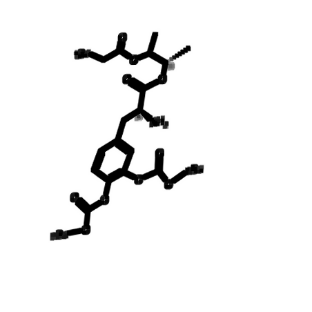 CCCCOC(=O)Oc1ccc(C[C@H](N)C(=O)O[C@@H](C)C(C)OC(=O)CC(C)(C)C)cc1OC(=O)OCCCC